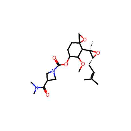 COC1C(OC(=O)N2CC(C(=O)N(C)C)C2)CCC2(CO2)C1[C@@]1(C)O[C@@H]1CC=C(C)C